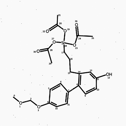 COCOc1ccc(-c2ccc(O)cc2CCC[Si](OC(C)=O)(OC(C)=O)OC(C)=O)cc1